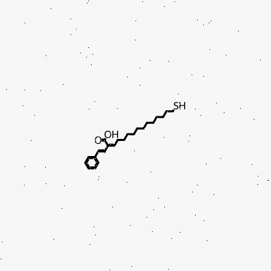 O=C(O)C(C=Cc1ccccc1)=CCCCCCCCCCCCCS